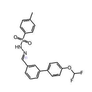 Cc1ccc(S(=O)(=O)N/N=C/c2cccc(-c3ccc(OC(F)F)cc3)c2)cc1